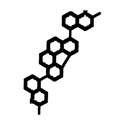 Cc1ccc2c(-c3ccc4c5c3ccc3ccc6c(-c7cccc8nc(C)ccc78)ccc-4c6c35)cccc2n1